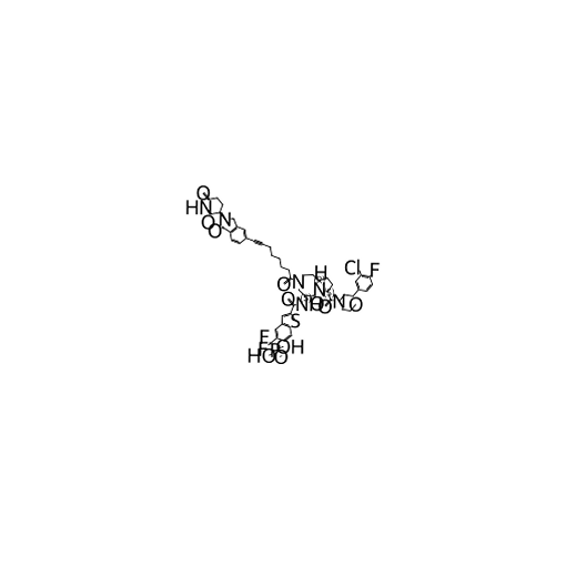 O=C1CCC(N2Cc3cc(C#CCCCCCC(=O)N4CC[C@H]5CC[C@@H](C(=O)N6CCOC(c7ccc(F)c(Cl)c7)C6)N5C(=O)[C@@H](NC(=O)c5cc6cc(C(F)(F)P(=O)(O)O)ccc6s5)C4)ccc3C2=O)C(=O)N1